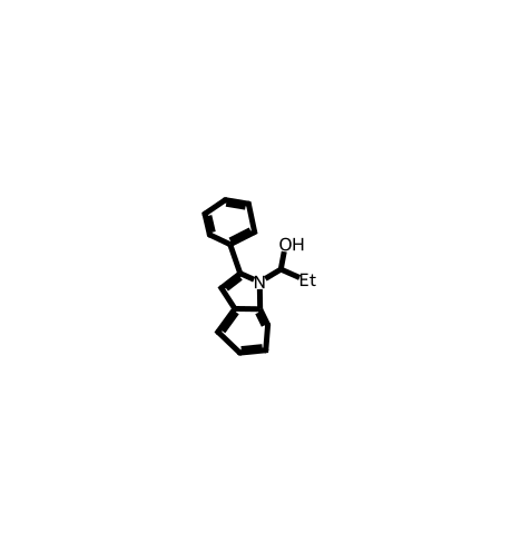 CCC(O)n1c(-c2ccccc2)cc2ccccc21